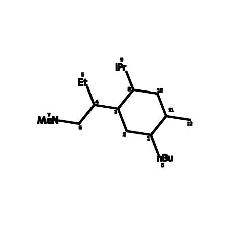 CCCCC1CC(C(CC)CNC)C(C(C)C)CC1C